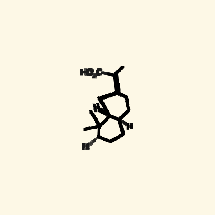 CC[C@H]1CC[C@@H]2CC/C(=C(\C)C(=O)O)C[C@H]2C1(C)C